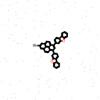 CC(C)(C)c1cc2ccc3c(-c4ccc5c(c4)oc4ccccc45)cc(-c4ccc5c(c4)oc4ccccc45)c4ccc(c1)c2c34